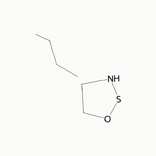 C1COSN1.CCCC